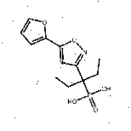 CCC(CC)(c1noc(-c2ccco2)n1)P(=O)(O)O